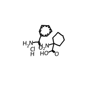 Cl.NC(=O)c1ccccc1.NC1(C(=O)O)CCCCC1